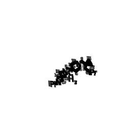 CC(C)CC1(CN2CCC(C)(CN3CC4(C3)CN(C(C)C)C4)CC2)CC1